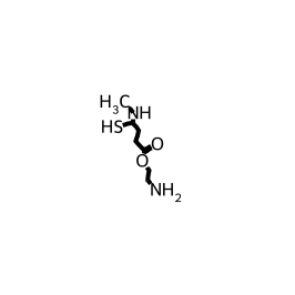 CNC(S)CCC(=O)OCCN